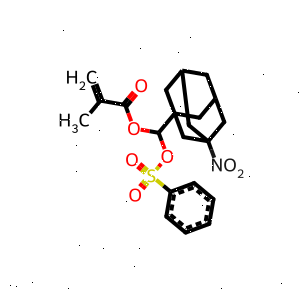 C=C(C)C(=O)OC(OS(=O)(=O)c1ccccc1)C12CC3CC(C1)CC([N+](=O)[O-])(C3)C2